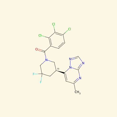 Cc1cc([C@@H]2CN(C(=O)c3ccc(Cl)c(Cl)c3Cl)CC(F)(F)C2)n2ncnc2n1